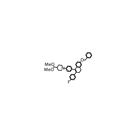 COC(OC)C1CCN(c2ccc(C3=C(c4ccc(F)cc4)CCc4cc(OCc5ccccc5)ccc43)cc2)CC1